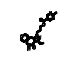 CCc1nn(CCCOC(=O)c2cnc(C)nc2)c2c1C(=O)NCC1(CCOCC1)C2